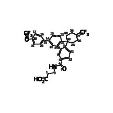 O=C(O)CCNC(=O)c1ccc(C2(c3ccc(-c4ccc(OC(F)(F)F)cc4)cc3)CCC(C(F)(F)F)CC2)cc1